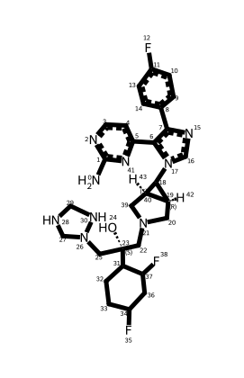 Nc1nccc(-c2c(-c3ccc(F)cc3)ncn2C2[C@H]3CN(C[C@](O)(CN4CNCN4)C4CCC(F)CC4F)C[C@@H]23)n1